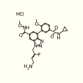 CONC(=O)c1cc(-c2cc(S(=O)(=O)NC3CC3)ccc2OC)c2nnn(C/C(F)=C/CN)c2c1.Cl